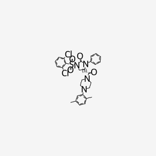 Cc1ccc(C)c(N2CCN(C(=O)[C@@H]3CN(S(=O)(=O)c4c(Cl)cccc4Cl)C(=O)N3c3ccccc3)CC2)c1